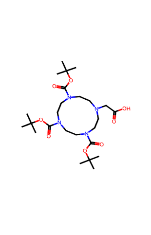 CC(C)(C)OC(=O)N1CCN(CC(=O)O)CCN(C(=O)OC(C)(C)C)CCN(C(=O)OC(C)(C)C)CC1